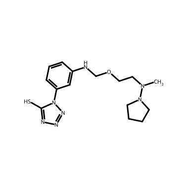 CN(CCOCNc1cccc(-n2nnnc2S)c1)N1CCCC1